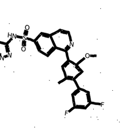 COc1cc(-c2cc(F)cc(F)c2)c(C)cc1-c1nccc2cc(S(=O)(=O)Nc3nncs3)ccc12